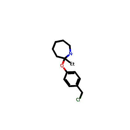 CCC1(Oc2ccc(CCl)cc2)CCCCC[N]1